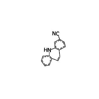 N#Cc1ccc2c(c1)Nc1ccccc1C=C2